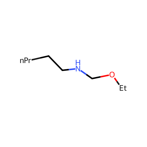 CCCCCNCOCC